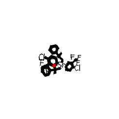 CC(C)([CH2][Sn]([CH2]C(C)(C)c1ccccc1)([c]1ccc(Cl)c(C(F)(F)F)c1)[c]1ccc(Cl)c(C(F)(F)F)c1)c1ccccc1